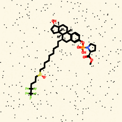 COC(=O)[C@@H]1CCCN1P(=O)(O)Oc1ccc2c(c1)C[C@@H](CCCCCCCCC[S@+]([O-])CCCC(F)(F)C(F)(F)F)[C@@H]1[C@@H]2CC[C@]2(C)[C@@H](O)CC[C@@H]12